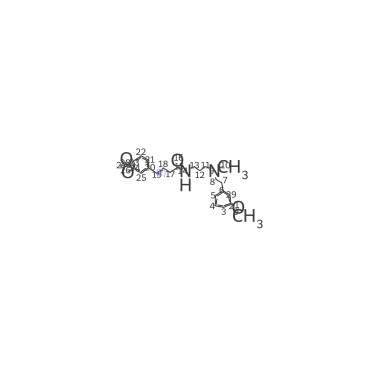 COc1cccc(CCN(C)CCCNC(=O)C/C=C/c2ccc3c(c2)OCO3)c1